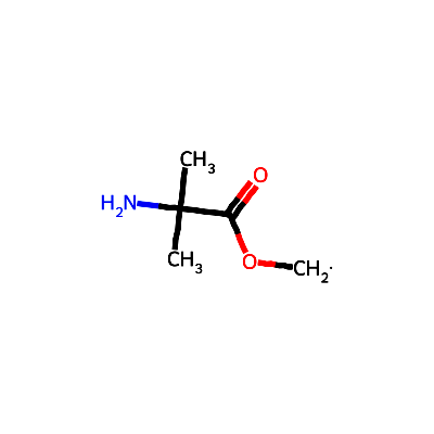 [CH2]OC(=O)C(C)(C)N